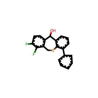 OC1c2ccc(F)c(F)c2CSc2c(-c3ccccc3)cccc21